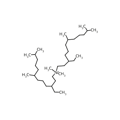 CCC(CCCC(C)CCCC(C)C)CC[N+](C)(C)CCC(CC)CCCC(C)CCCC(C)C